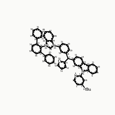 CC(C)(C)c1ccnc(-n2c3ccccc3c3ccc(C(c4cccc(-n5c[n+](-c6c(-c7ccccc7)cccc6-c6ccccc6)c6ccccc65)c4)c4ccco4)cc32)c1